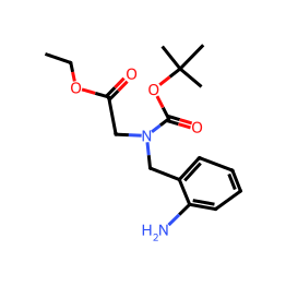 CCOC(=O)CN(Cc1ccccc1N)C(=O)OC(C)(C)C